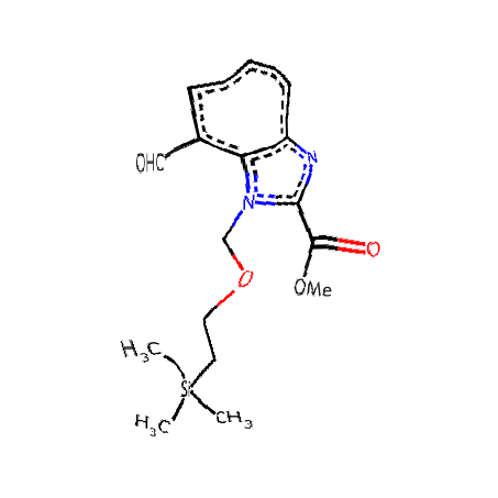 COC(=O)c1nc2cccc(C=O)c2n1COCC[Si](C)(C)C